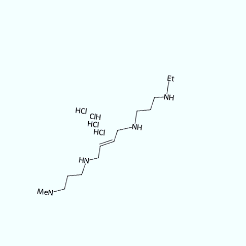 CCNCCCNCC=CCNCCCNC.Cl.Cl.Cl.Cl